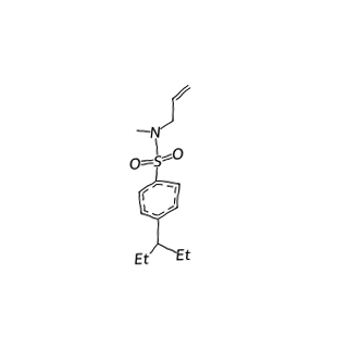 C=CCN(C)S(=O)(=O)c1ccc(C(CC)CC)cc1